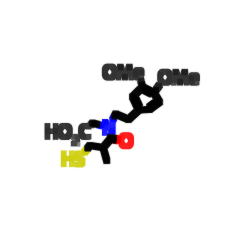 COc1ccc(CCN(CC(=O)O)C(=O)C(C)CS)cc1OC